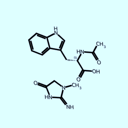 CC(=O)N[C@@H](Cc1c[nH]c2ccccc12)C(=O)O.CN1CC(=O)NC1=N